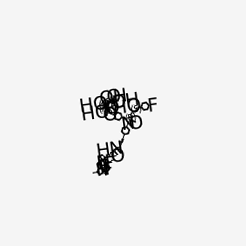 Cc1cc(C)n2c1C=C1C=CC(CCC(=O)NCC#Cc3ccc(N4C(=O)[C@H](CC[C@H](O)c5ccc(F)cc5)C4c4ccc(O[C@@H]5O[C@H](C(=O)O)[C@@H](O)[C@H](O)[C@H]5O)cc4)cc3)=[N+]1[B-]2(F)F